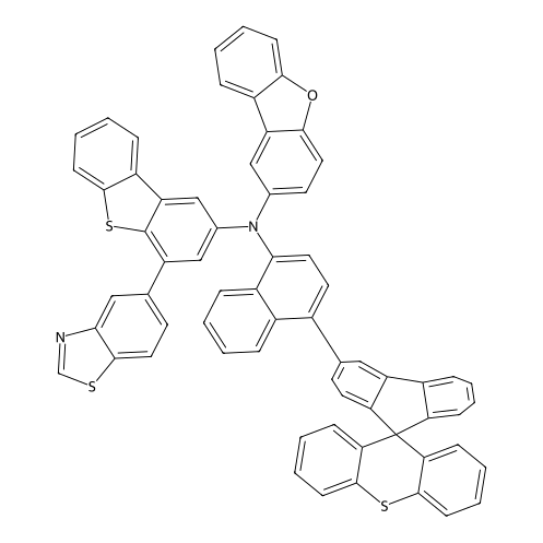 c1ccc2c(c1)Sc1ccccc1C21c2ccccc2-c2cc(-c3ccc(N(c4ccc5oc6ccccc6c5c4)c4cc(-c5ccc6scnc6c5)c5sc6ccccc6c5c4)c4ccccc34)ccc21